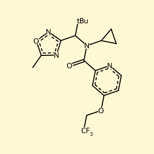 Cc1nc(C(N(C(=O)c2cc(OCC(F)(F)F)ccn2)C2CC2)C(C)(C)C)no1